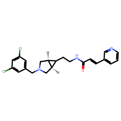 O=C(/C=C/c1cccnc1)NCCC1[C@H]2CN(Cc3cc(Cl)cc(Cl)c3)C[C@@H]12